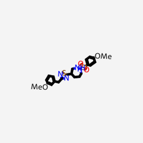 COc1ccc(S(=O)(=O)N2CCCC(c3nc(Cc4cccc(OC)c4)ns3)CN2)cc1